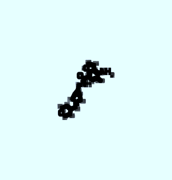 Cc1cc(C(=O)NCC2C3CN(CC4CCOCC4)CC23)c2occc2c1N